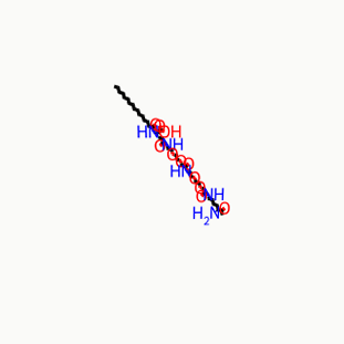 CCCCCCCCCCCCCCCC(=O)N[C@@H](CCC(=O)NCCOCCOCC(=O)NCCOCCOCC(=O)NCCCC[C@H](N)C(C)=O)C(=O)O